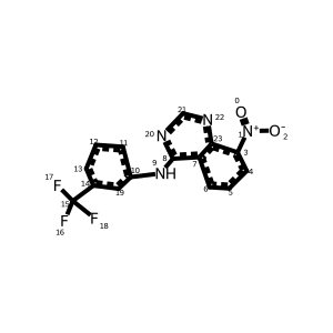 O=[N+]([O-])c1cccc2c(Nc3cccc(C(F)(F)F)c3)ncnc12